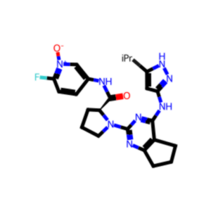 CC(C)c1cc(Nc2nc(N3CCC[C@H]3C(=O)Nc3ccc(F)[n+]([O-])c3)nc3c2CCC3)n[nH]1